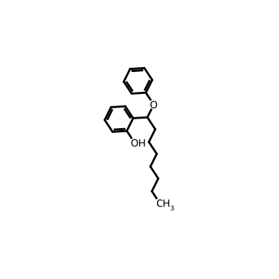 CCCCCCCC(Oc1ccccc1)c1ccccc1O